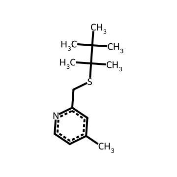 Cc1ccnc(CSC(C)(C)C(C)(C)C)c1